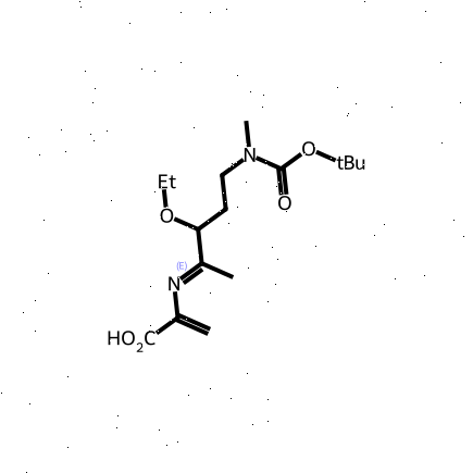 C=C(/N=C(\C)C(CCN(C)C(=O)OC(C)(C)C)OCC)C(=O)O